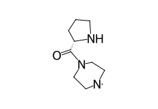 O=C([C@@H]1CCCN1)N1CC[N]CC1